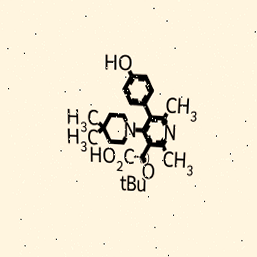 Cc1nc(C)c([C@H](OC(C)(C)C)C(=O)O)c(N2CCC(C)(C)CC2)c1-c1ccc(O)cc1